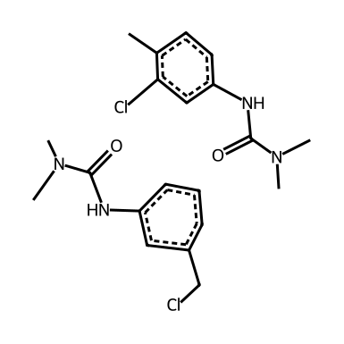 CN(C)C(=O)Nc1cccc(CCl)c1.Cc1ccc(NC(=O)N(C)C)cc1Cl